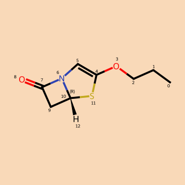 CCCOC1=CN2C(=O)C[C@H]2S1